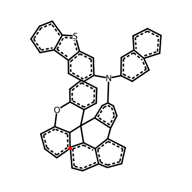 c1ccc2c(c1)Oc1ccccc1C21c2cc(N(c3ccc4ccccc4c3)c3ccc4c(c3)sc3ccccc34)ccc2-c2cccc3cccc1c23